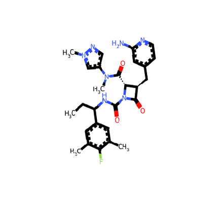 CCC(NC(=O)N1C(=O)[C@H](Cc2ccnc(N)c2)[C@H]1C(=O)N(C)c1cnn(C)c1)c1cc(C)c(F)c(C)c1